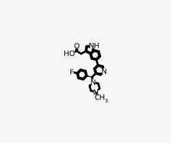 CN1CCN([C@@H](c2ccc(F)cc2)c2cncc(-c3ccc4[nH]cc(CC(=O)O)c4c3)c2)CC1